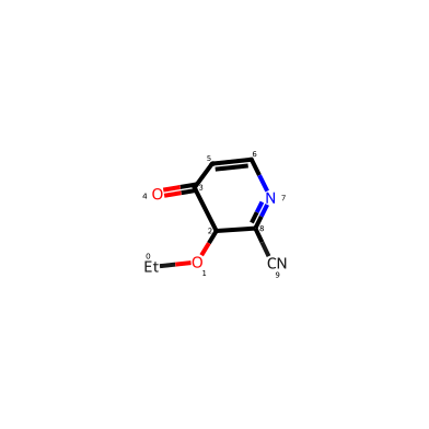 CCOC1C(=O)C=CN=C1C#N